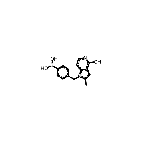 Cc1cc2c(O)nccc2n1Cc1ccc(B(O)O)cc1